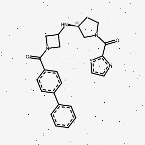 O=C(c1ccc(-c2ccccc2)cc1)N1CC(N[C@H]2CCN(C(=O)c3nccs3)C2)C1